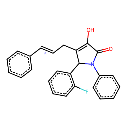 O=C1C(O)=C(C/C=C/c2ccccc2)C(c2ccccc2F)N1c1ccccc1